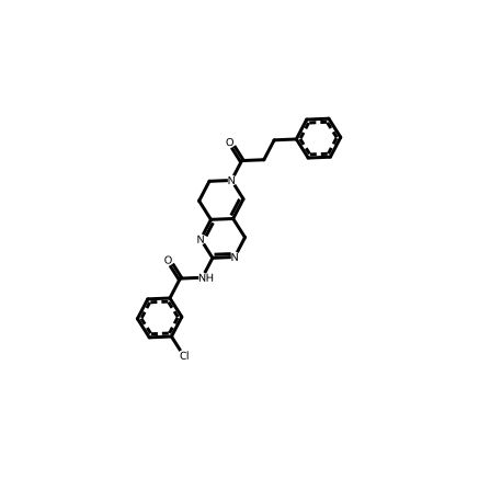 O=C(NC1=NCC2=CN(C(=O)CCc3ccccc3)CCC2=N1)c1cccc(Cl)c1